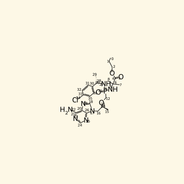 CCCOC(=O)C(C)(C)NP(=O)(CO[C@@H](C)Cn1cnc2c(N)ncnc21)N[C@@H](C)c1ccc(Cl)cc1